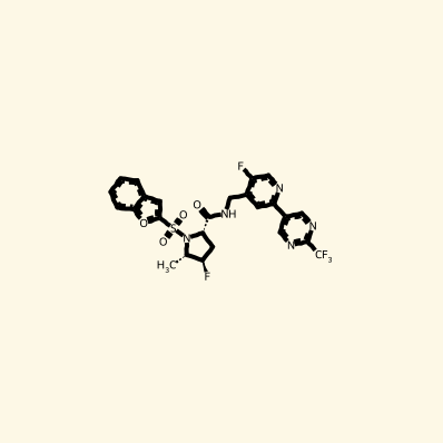 C[C@H]1[C@H](F)C[C@@H](C(=O)NCc2cc(-c3cnc(C(F)(F)F)nc3)ncc2F)N1S(=O)(=O)c1cc2ccccc2o1